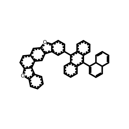 C1=CC2C=CC=C(c3c4ccccc4c(-c4ccc5oc6cc7ccc8oc9ccccc9c8c7cc6c5c4)c4ccccc34)C2C=C1